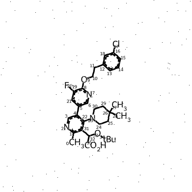 Cc1ncc(-c2cnc(OCCc3cccc(Cl)c3)c(F)c2)c(N2CCC(C)(C)CC2)c1C(OC(C)(C)C)C(=O)O